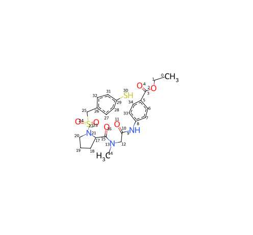 CCOC(=O)c1ccc(NC(=O)CN(C)C(=O)C2CCCN2S(=O)(=O)Cc2ccc(S)cc2)cc1